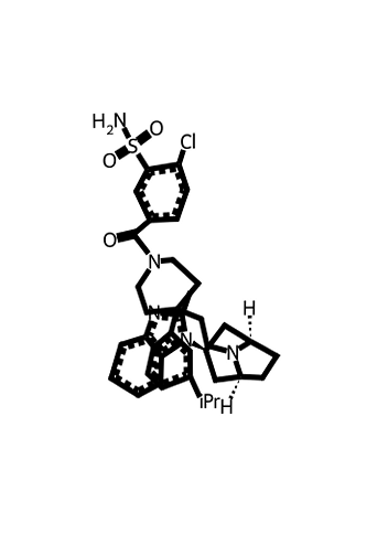 Cc1nc2ccccc2n1[C@H]1C[C@H]2CC[C@@H](C1)N2CCC1(c2cccc(C(C)C)c2)CCN(C(=O)c2ccc(Cl)c(S(N)(=O)=O)c2)CC1